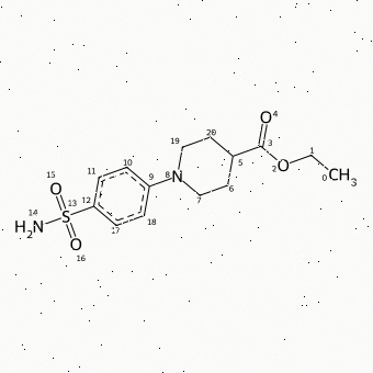 CCOC(=O)C1CCN(c2ccc(S(N)(=O)=O)cc2)CC1